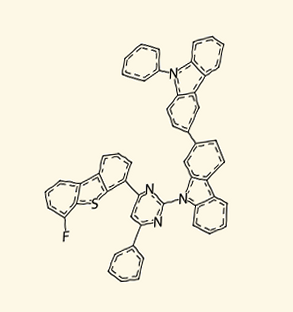 Fc1cccc2c1sc1c(-c3cc(-c4ccccc4)nc(-n4c5ccccc5c5ccc(-c6ccc7c(c6)c6ccccc6n7-c6ccccc6)cc54)n3)cccc12